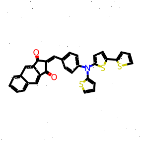 O=C1C(=Cc2ccc(N(c3cccs3)c3ccc(-c4cccs4)s3)cc2)C(=O)c2cc3ccccc3cc21